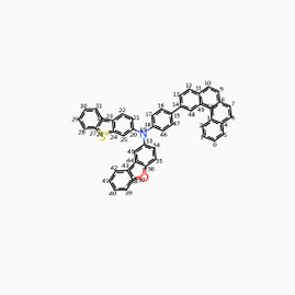 c1ccc2c(c1)ccc1ccc3ccc(-c4ccc(N(c5ccc6c(c5)sc5ccccc56)c5ccc6oc7ccccc7c6c5)cc4)cc3c12